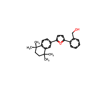 CC1(C)CCC(C)(C)c2cc(-c3ccc(-c4ccccc4CO)o3)ccc21